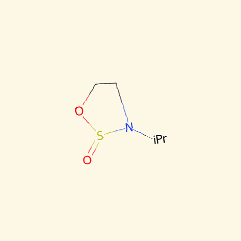 CC(C)N1CCOS1=O